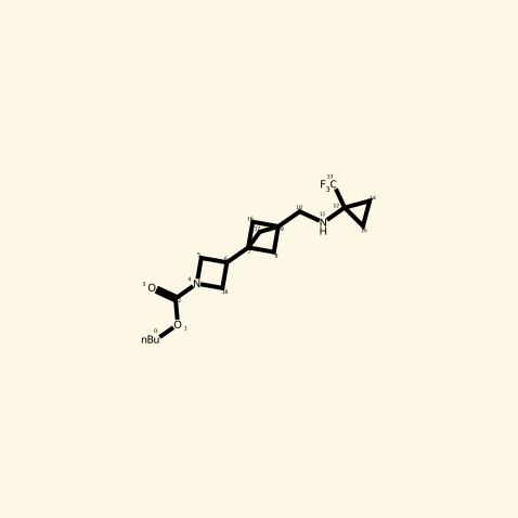 CCCCOC(=O)N1CC(C23CC(CNC4(C(F)(F)F)CC4)(C2)C3)C1